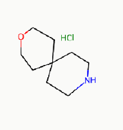 C1CC2(CCN1)CCOCC2.Cl